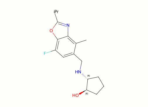 Cc1c(CN[C@@H]2CCC[C@H]2O)cc(F)c2oc(C(C)C)nc12